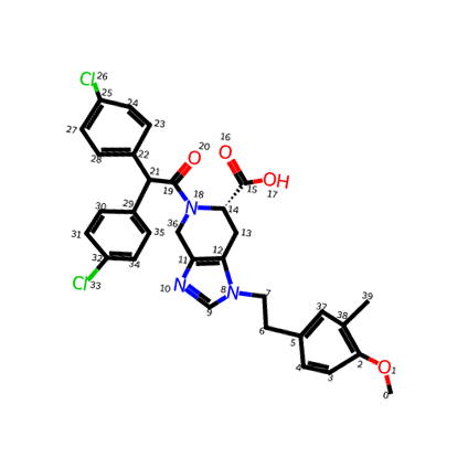 COc1ccc(CCn2cnc3c2C[C@@H](C(=O)O)N(C(=O)C(c2ccc(Cl)cc2)c2ccc(Cl)cc2)C3)cc1C